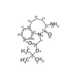 CC(C)(C)OC(=O)CN1C(=O)C(N)CCCc2ccccc21